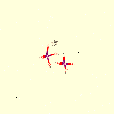 O=P([O-])([O-])[O-].O=P([O-])([O-])[O-].[Ba+2].[Zr+4]